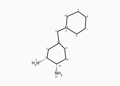 N[C@@H]1CC(CN2CCCCC2)CC[C@@H]1N